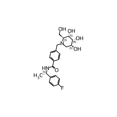 C[C@H](NC(=O)c1ccc(CN2C[C@H](O)[C@@H](O)[C@@H](O)[C@@H]2CO)cc1)c1ccc(F)cc1